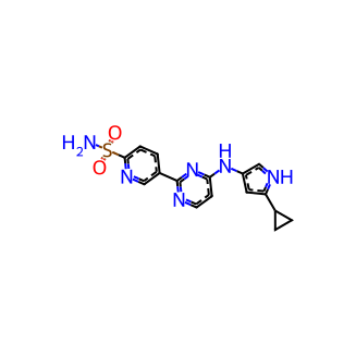 NS(=O)(=O)c1ccc(-c2nccc(Nc3c[nH]c(C4CC4)c3)n2)cn1